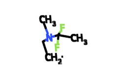 [CH2]CN(C)C(C)(F)F